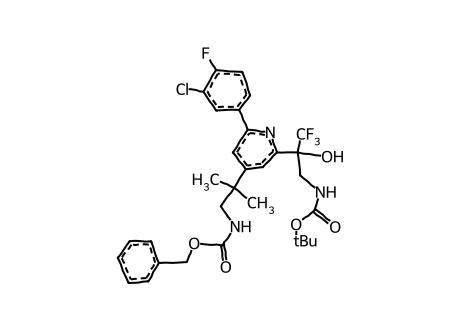 CC(C)(C)OC(=O)NCC(O)(c1cc(C(C)(C)CNC(=O)OCc2ccccc2)cc(-c2ccc(F)c(Cl)c2)n1)C(F)(F)F